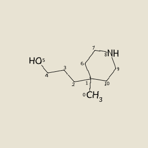 CC1(CCCO)CCNCC1